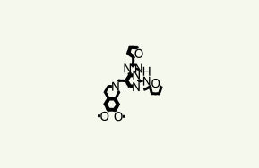 COc1cc2c(cc1OC)CN(Cc1cnc(NC3(C)CCCO3)n3nc(-c4ccco4)nc13)CC2